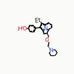 CCc1c(-c2ccc(O)cc2)c2cc(COCCN3CCCCC3)c3cccc1n32